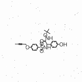 CC#CCOc1ccc(S(=O)(=O)NC(C(=O)NOC(C)(C)C)c2ccc(O)cc2)cc1